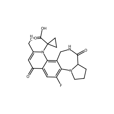 CCc1cc(=O)c2cc(F)c3c(c2n1C1(C(=O)O)CC1)CNC(=O)C1CCCN31